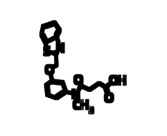 CN(C(=O)CCC(=O)O)c1cccc(OCc2nc3ccccc3s2)c1